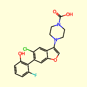 O=C(O)N1CCN(c2coc3cc(-c4c(O)cccc4F)c(Cl)cc23)CC1